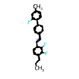 CCCc1ccc(/C=C/c2ccc(-c3ccc(C)cc3F)cc2)c(F)c1F